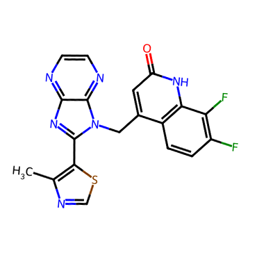 Cc1ncsc1-c1nc2nccnc2n1Cc1cc(=O)[nH]c2c(F)c(F)ccc12